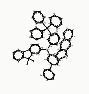 CC1(C)c2ccccc2-c2ccc(N(c3ccc4c(c3)C(c3ccccc3)(c3ccccc3)c3ccccc3-4)c3cc(-c4ccccc4)cc4oc5cc6ccccc6cc5c34)cc21